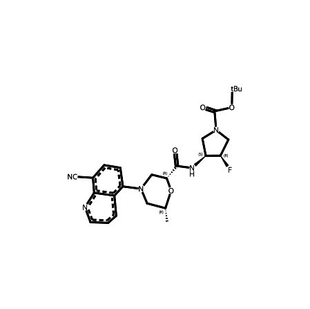 C[C@@H]1CN(c2ccc(C#N)c3ncccc23)C[C@H](C(=O)N[C@H]2CN(C(=O)OC(C)(C)C)C[C@H]2F)O1